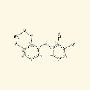 N#Cc1cccc(Oc2ncnc3c2CCNC3)c1Cl